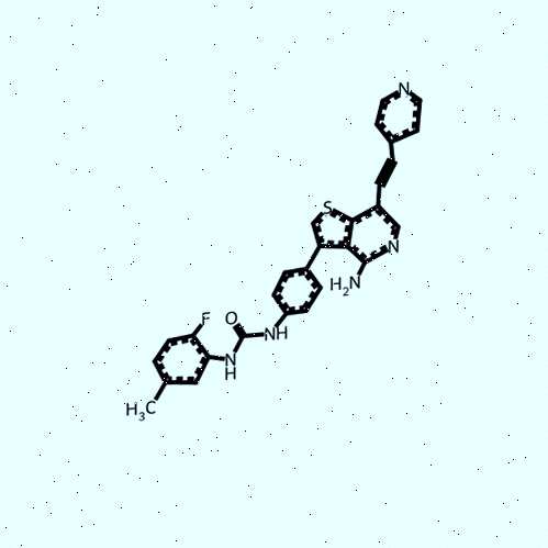 Cc1ccc(F)c(NC(=O)Nc2ccc(-c3csc4c(C#Cc5ccncc5)cnc(N)c34)cc2)c1